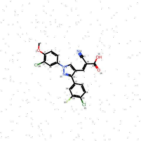 COc1ccc(-n2cc(/C=C(\C#N)C(=O)O)c(-c3ccc(Cl)c(F)c3)n2)cc1Cl